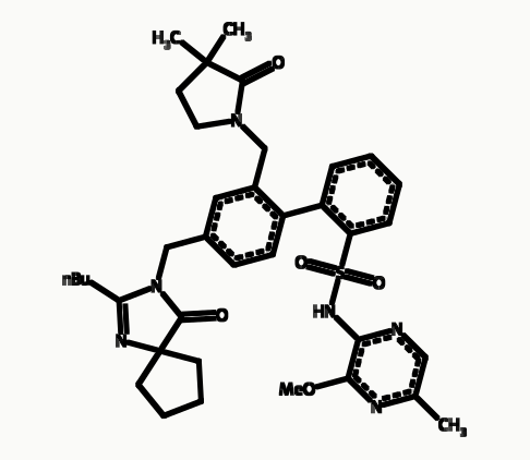 CCCCC1=NC2(CCCC2)C(=O)N1Cc1ccc(-c2ccccc2S(=O)(=O)Nc2ncc(C)nc2OC)c(CN2CCC(C)(C)C2=O)c1